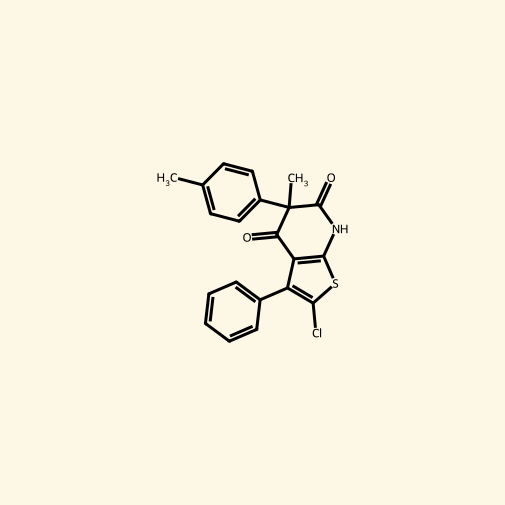 Cc1ccc(C2(C)C(=O)Nc3sc(Cl)c(-c4ccccc4)c3C2=O)cc1